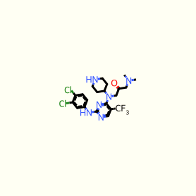 CN(C)CC(=O)CN(c1nc(Nc2ccc(Cl)c(Cl)c2)ncc1C(F)(F)F)C1CCNCC1